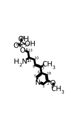 COc1cncc(C(C)=CCC(N)COP(=O)(O)O)c1